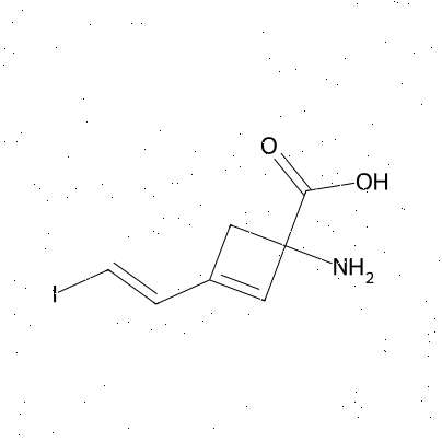 NC1(C(=O)O)C=C(C=CI)C1